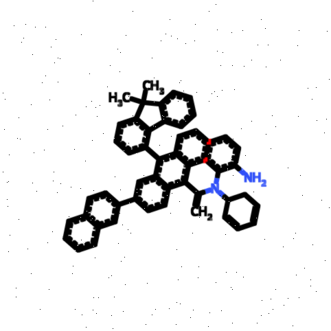 C=C(c1c2ccccc2c(-c2cccc3c2-c2ccccc2C3(C)C)c2cc(-c3ccc4ccccc4c3)ccc12)N(c1ccccc1N)C1C=CC=CC1